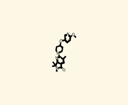 COc1ccc(OC2CCN(c3nc4c(cc3C)C(=O)N(C)C4(C)C)CC2)cn1